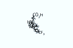 O=C(O)C1CC(CNc2ncnc(N(Cc3ccc(C(F)(F)F)cc3)C3CC3)c2F)C1